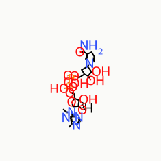 [3H]OC1C(O)C(COP(=O)(O)OP(=O)(O)OCC2CC(N3C=CCC(C(N)=O)=C3)C(O)C2O)OC1n1c(C)nc2c(C)ncnc21